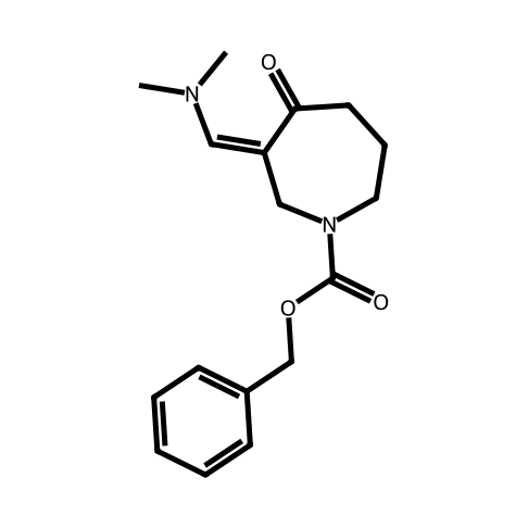 CN(C)C=C1CN(C(=O)OCc2ccccc2)CCCC1=O